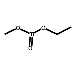 CC[O][Ti](=[O])[O]C